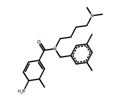 BC1C=CC(C(=O)N(CCCCN(C)C)Cc2cc(C)cc(C)c2)=CC1C